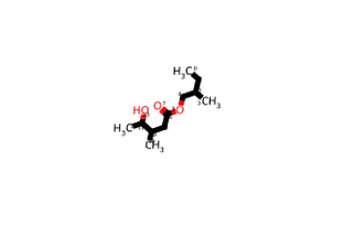 CCC(C)COC(=O)CC(C)C(C)O